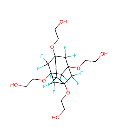 OCCOC12C(F)(F)C3(OCCO)C(F)(F)C(OCCO)(C1(F)F)C(F)(F)C(OCCO)(C2(F)F)C3(F)F